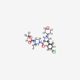 CC[C@@H]1CN(C(=O)[C@@H]2CN(C3CCOCC3)C[C@H]2c2ccc(Cl)cc2F)CCN1C(=O)OC(C)(C)C